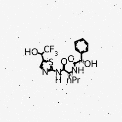 CCC[C@H](NC(=O)[C@@H](O)c1ccccc1)C(=O)Nc1ncc(C(O)C(F)(F)F)s1